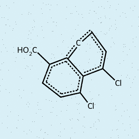 O=C(O)c1ccc(Cl)c2c(Cl)cccc12